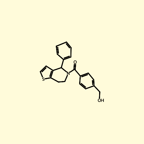 O=C(c1ccc(CO)cc1)N1CCc2sccc2C1c1ccccc1